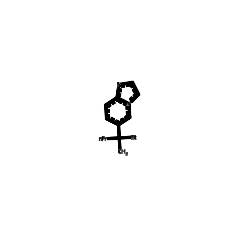 CCCC(C)(CC)c1ccc2nccn2c1